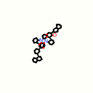 c1cc(-c2ccc(N(c3ccccc3-c3cccc4c3oc3cc5ccccc5cc34)c3ccccc3-n3c4ccccc4c4ccccc43)cc2)cc(-c2cccc3ccccc23)c1